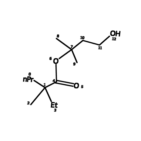 CCCC(C)(CC)C(=O)OC(C)(C)CCO